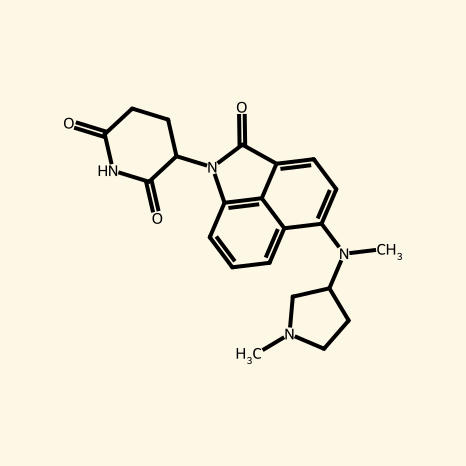 CN1CCC(N(C)c2ccc3c4c(cccc24)N(C2CCC(=O)NC2=O)C3=O)C1